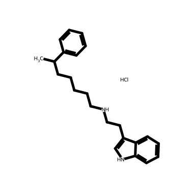 CC(CCCCCNCCc1c[nH]c2ccccc12)c1ccccc1.Cl